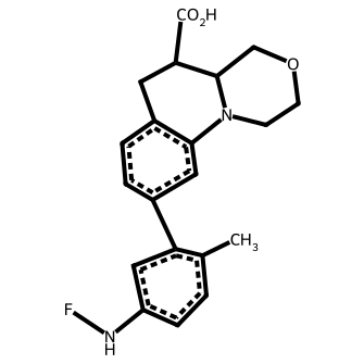 Cc1ccc(NF)cc1-c1ccc2c(c1)N1CCOCC1C(C(=O)O)C2